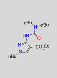 CCCCN(CCCC)C(=O)Nc1nn(CCCC)cc1C(=O)OCC